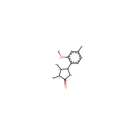 COc1cc(C)ccc1C1CC(=O)C(C)C1C